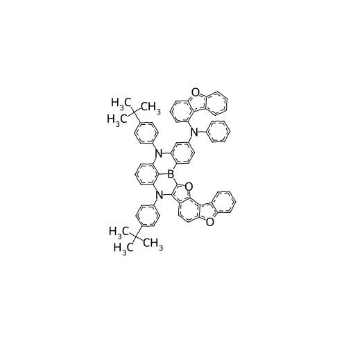 CC(C)(C)c1ccc(N2c3cc(N(c4ccccc4)c4cccc5oc6ccccc6c45)ccc3B3c4oc5c(ccc6oc7ccccc7c65)c4N(c4ccc(C(C)(C)C)cc4)c4cccc2c43)cc1